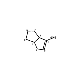 [CH2]CC1=CCC2CCCC12